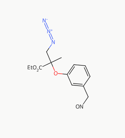 CCOC(=O)C(C)(CN=[N+]=[N-])Oc1cccc(CN=O)c1